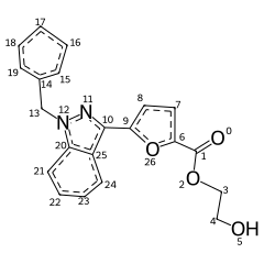 O=C(OCCO)c1ccc(-c2nn(Cc3ccccc3)c3ccccc23)o1